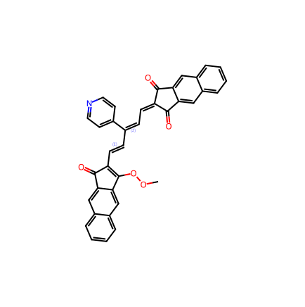 COOC1=C(/C=C/C(=C/C=C2C(=O)c3cc4ccccc4cc3C2=O)c2ccncc2)C(=O)c2cc3ccccc3cc21